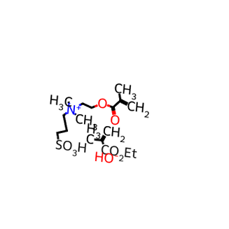 C=C(C)C(=O)OCC[N+](C)(C)CCCS(=O)(=O)O.[CH2]COC(=O)C(=C)C.[OH-]